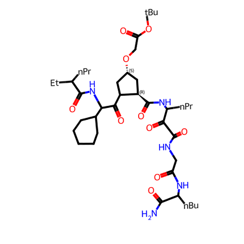 CCCCC(NC(=O)CNC(=O)C(=O)C(CCC)NC(=O)[C@@H]1C[C@@H](OCC(=O)OC(C)(C)C)CC1C(=O)C(NC(=O)C(CC)CCC)C1CCCCC1)C(N)=O